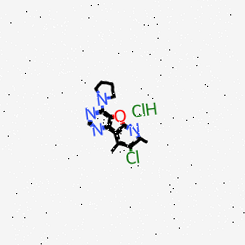 Cc1nc2oc3c(N4CCCC4)ncnc3c2c(C)c1Cl.Cl